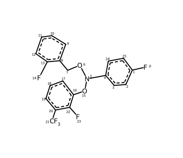 Fc1ccc(N(OCc2ccccc2F)Oc2cccc(C(F)(F)F)c2F)cc1